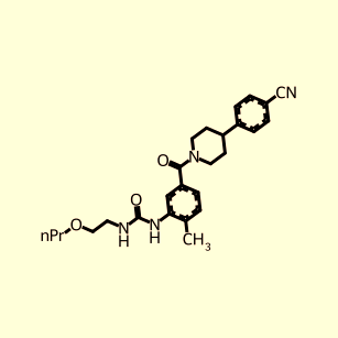 CCCOCCNC(=O)Nc1cc(C(=O)N2CCC(c3ccc(C#N)cc3)CC2)ccc1C